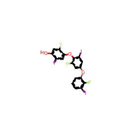 Oc1cc(F)c(Oc2c(F)cc(Oc3cccc(I)c3F)cc2I)cc1I